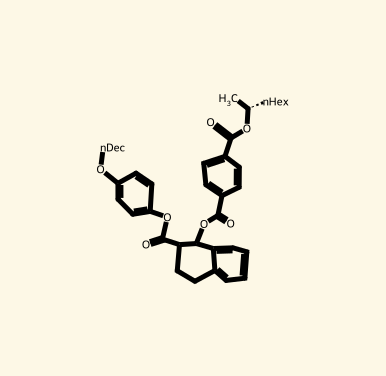 CCCCCCCCCCOc1ccc(OC(=O)C2CCc3ccccc3C2OC(=O)c2ccc(C(=O)O[C@H](C)CCCCCC)cc2)cc1